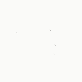 NCc1ccnc(-n2c[c]cn2)c1